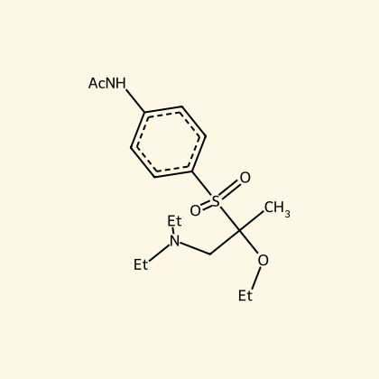 CCOC(C)(CN(CC)CC)S(=O)(=O)c1ccc(NC(C)=O)cc1